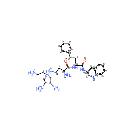 NCC[N+](CCN)(CCN)NCC[C@H](N)C(=O)N[C@@H](CCc1ccccc1)C(=O)Nc1cnc2ccccc2c1